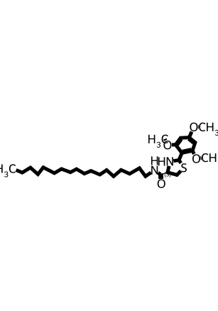 CCCCCCCCCCCCCCCCCCNC(=O)[C@H]1CSC(c2c(OC)cc(OC)cc2OC)N1